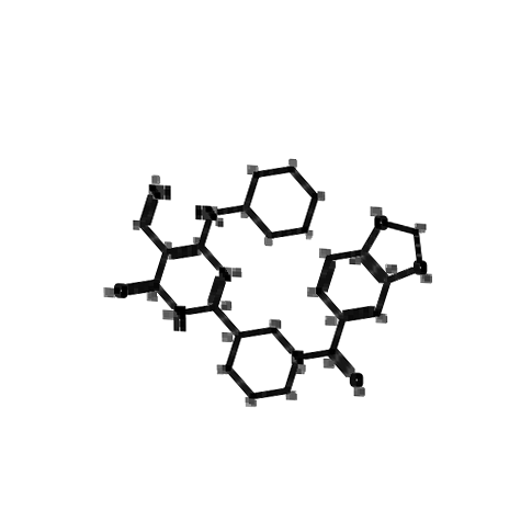 N=Cc1c(NC2CCCCC2)nc(C2CCCN(C(=O)c3ccc4c(c3)OCO4)C2)[nH]c1=O